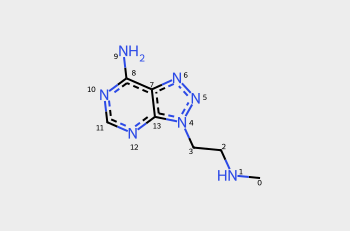 CNCCn1nnc2c(N)ncnc21